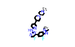 CCN1CCC(N2CCC(c3ccc(Nc4ncc(F)c(-c5cc(F)c6nc(C)n(C(C)C)c6c5)n4)nc3)CC2)CC1